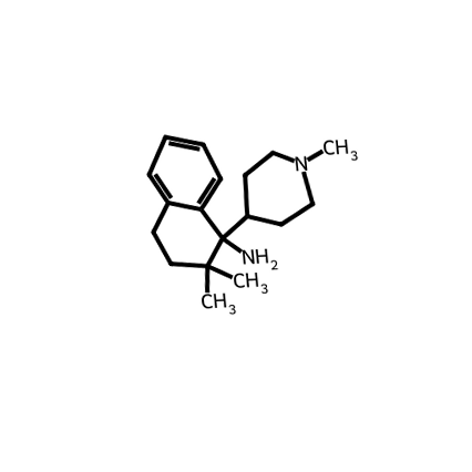 CN1CCC(C2(N)c3ccccc3CCC2(C)C)CC1